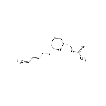 C=CCCCS[C@@H]1CCC[C@H](COC(C)=O)O1